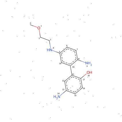 COCCNc1ccc(N)c(-c2cc(N)ccc2O)c1